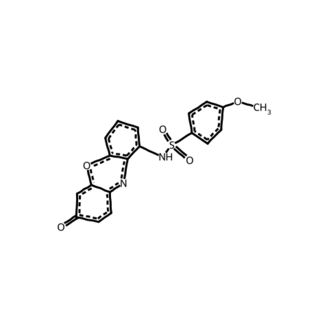 COc1ccc(S(=O)(=O)Nc2cccc3oc4cc(=O)ccc-4nc23)cc1